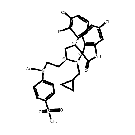 CC(=O)N(CC[C@H]1C[C@H](c2cccc(Cl)c2F)[C@]2(C(=O)Nc3cc(Cl)ccc32)N1CC1CC1)c1ccc(S(C)(=O)=O)cc1